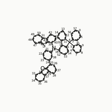 c1ccc(C2(c3ccccc3)c3ccccc3-c3c(N(c4cccc(-c5cccc6c5oc5ccccc56)c4)c4cccc5c4sc4ccccc45)cccc32)cc1